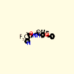 CO[C@H](CNC(=O)C[C@H](c1cccnc1)C1(C(F)(F)F)CC1)Cc1ccc(OCc2ccccc2)cc1